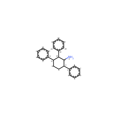 NC1C(c2ccccc2)CCC(c2ccccc2)C1c1ccccc1